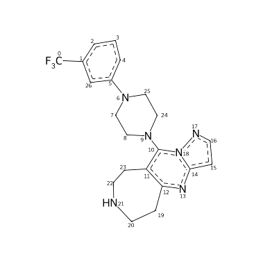 FC(F)(F)c1cccc(N2CCN(c3c4c(nc5ccnn35)CCNCC4)CC2)c1